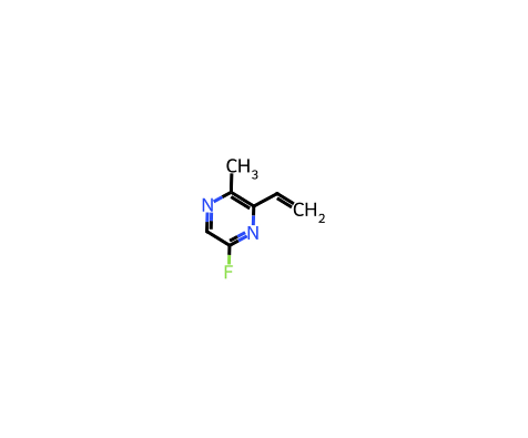 C=Cc1nc(F)cnc1C